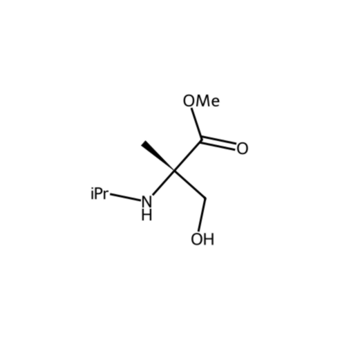 COC(=O)[C@](C)(CO)NC(C)C